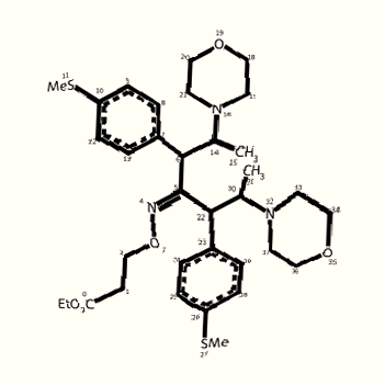 CCOC(=O)CCON=C(C(c1ccc(SC)cc1)C(C)N1CCOCC1)C(c1ccc(SC)cc1)C(C)N1CCOCC1